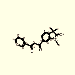 CN1C(=O)C(C)(C)c2ccc(C(=O)CC(=O)c3cccnc3)cc21